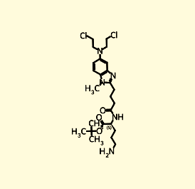 Cn1c(CCCC(=O)N[C@@H](CCCN)C(=O)OC(C)(C)C)nc2cc(N(CCCl)CCCl)ccc21